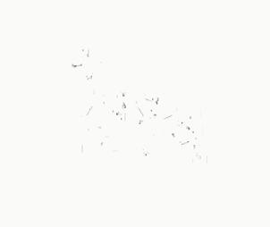 CCC1CC=C2C(C[C@H]2COC(N)=O)[C@@H]1NC(=O)c1cnn(/C=C/C(C)(C)NC(=O)OC)c1OCC(C)C